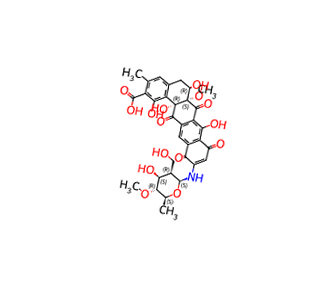 CO[C@@H]1[C@@H](O)[C@@H](CO)[C@@H](NC2=CC(=O)c3c(cc4c(c3O)C(=O)[C@]3(OC)[C@H](O)Cc5cc(C)c(C(=O)O)c(O)c5[C@]3(O)C4=O)C2=O)O[C@H]1C